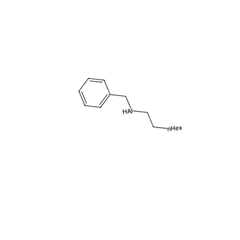 CCCCCCC[CH2][AlH][CH2]c1ccccc1